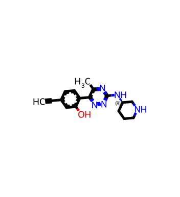 C#Cc1ccc(-c2nnc(N[C@@H]3CCCNC3)nc2C)c(O)c1